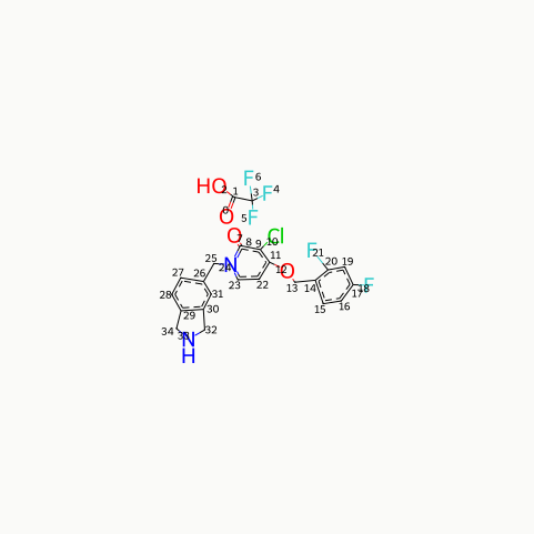 O=C(O)C(F)(F)F.O=c1c(Cl)c(OCc2ccc(F)cc2F)ccn1Cc1ccc2c(c1)CNC2